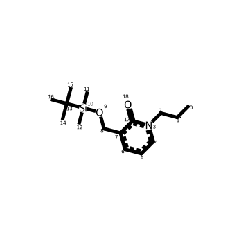 C[CH]Cn1cccc(CO[Si](C)(C)C(C)(C)C)c1=O